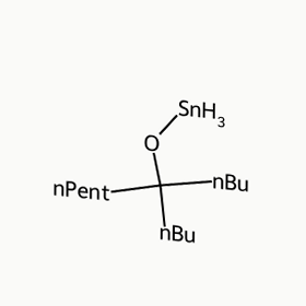 CCCCCC(CCCC)(CCCC)[O][SnH3]